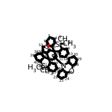 C[Si]1(C)c2ccccc2C2(c3ccccc31)c1cc(N3c4ccccc4Oc4ccccc43)sc1C1(c3ccccc3[Si](C)(C)c3ccccc31)c1ccsc12